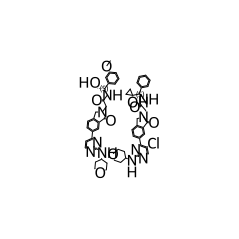 COc1cccc([C@@H](CO)NC(=O)CN2Cc3ccc(-c4ccnc(NC5CCOCC5)n4)cc3C2=O)c1.O=C(CN1Cc2ccc(-c3nc(NC4CCOCC4)ncc3Cl)cc2C1=O)N[C@@H](c1ccccc1)C1(O)CC1